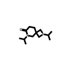 CC(C)N1CC2(CCC(=O)N(C(C)C)C2)C1